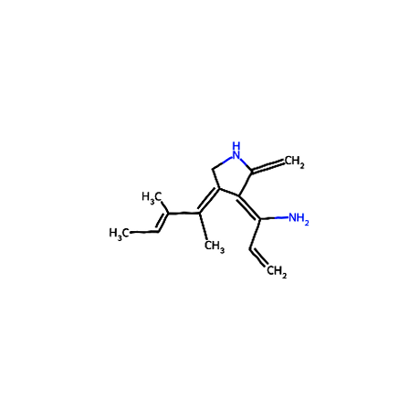 C=C/C(N)=C1/C(=C)NC/C1=C(C)\C(C)=C\C